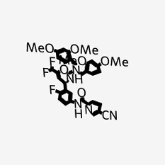 COc1ccc(CN(Cc2ccc(OC)cc2OC)C(=N)O/C(=C\[C@@H](C)c2cc(NC(=O)c3ccc(C#N)cn3)ccc2F)C(F)F)c(OC)c1